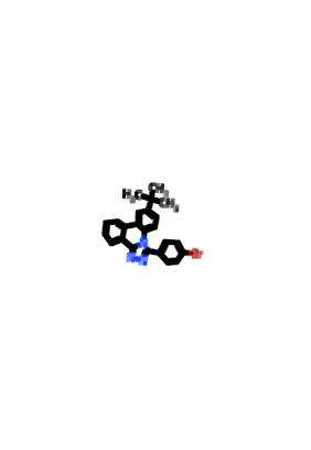 CC(C)(C)c1ccc2c(c1)c1ccccc1c1nnc(-c3ccc(Br)cc3)n21